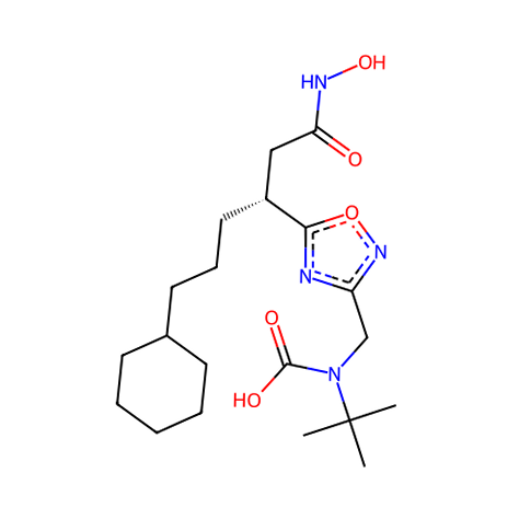 CC(C)(C)N(Cc1noc([C@H](CCCC2CCCCC2)CC(=O)NO)n1)C(=O)O